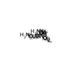 CCOc1ccc(Nc2c(C3CCC(CC4CCC(N)CC4)CC3)c(N)nn3ccnc23)cc1